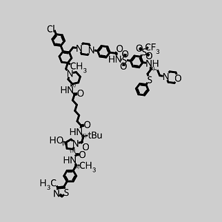 Cc1ncsc1-c1ccc([C@H](C)NC(=O)[C@@H]2C[C@@H](O)CN2C(=O)[C@@H](NC(=O)CCCCCC(=O)N[C@@H]2CCCN(CC3(C)CCC(c4ccc(Cl)cc4)=C(CN4CCN(c5ccc(C(=O)NS(=O)(=O)c6ccc(N[C@H](CCN7CCOCC7)CSc7ccccc7)c(S(=O)(=O)C(F)(F)F)c6)cc5)CC4)C3)C2)C(C)(C)C)cc1